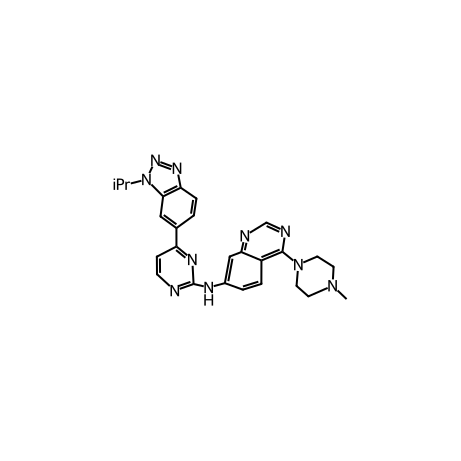 CC(C)n1nnc2ccc(-c3ccnc(Nc4ccc5c(N6CCN(C)CC6)ncnc5c4)n3)cc21